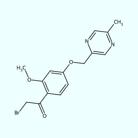 COc1cc(OCc2cnc(C)cn2)ccc1C(=O)CBr